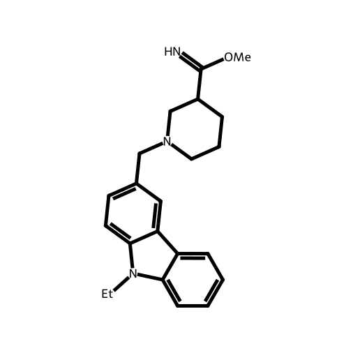 CCn1c2ccccc2c2cc(CN3CCCC(C(=N)OC)C3)ccc21